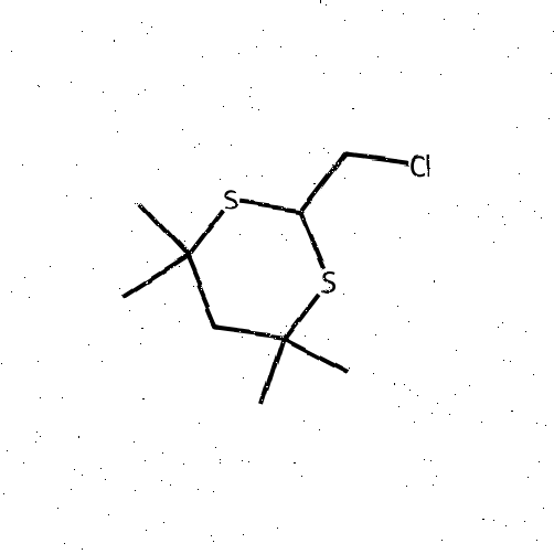 CC1(C)CC(C)(C)SC(CCl)S1